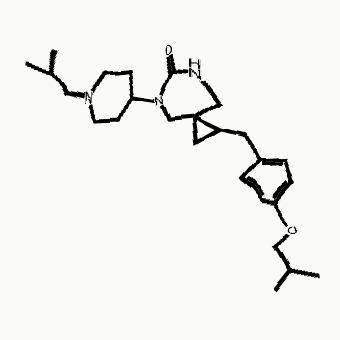 CC(C)COc1ccc(CC2CC23CNC(=O)N(C2CCN(CC(C)C)CC2)C3)cc1